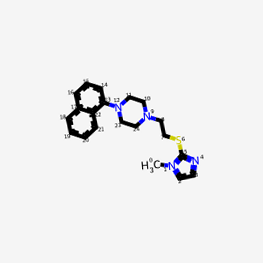 Cn1ccnc1SCCN1CCN(c2cccc3ccccc23)CC1